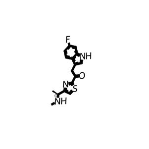 CN[C@@H](C)c1csc(C(=O)Cc2c[nH]c3cc(F)ccc23)n1